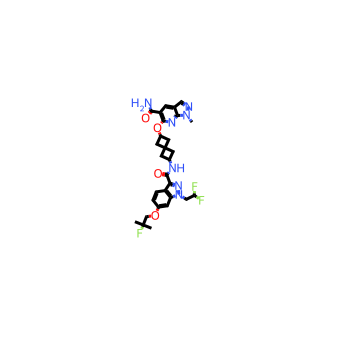 Cn1ncc2cc(C(N)=O)c(OC3CC4(CC(NC(=O)c5nn(CC(F)F)c6cc(OCC(C)(C)F)ccc56)C4)C3)nc21